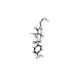 CCOC(=O)C1(C(F)(F)F)CN1S(=O)(=O)c1ccc(C)cc1